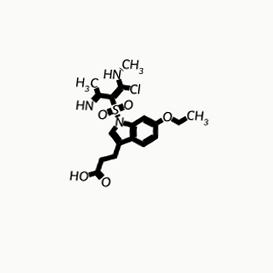 CCOc1ccc2c(CCC(=O)O)cn(S(=O)(=O)/C(C(C)=N)=C(\Cl)NC)c2c1